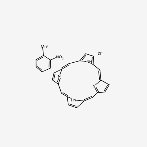 C1=Cc2cc3ccc(cc4nc(cc5ccc(cc1n2)[nH]5)C=C4)[nH]3.O=[N+]([O-])c1cccc[c]1[Mn+].[Cl-]